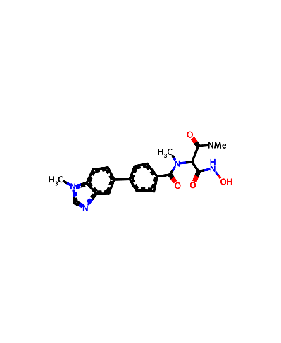 CNC(=O)C(C(=O)NO)N(C)C(=O)c1ccc(-c2ccc3c(c2)ncn3C)cc1